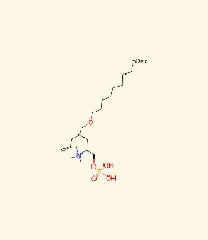 C=CCC(COCCCCCCCCCCCCCCCCCC)CC(COP(=O)(O)O)[N+](C)(C)C